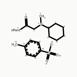 CCCCCC(=O)C[S+](C)C1CCCCC1.Cc1ccc(S(=O)(=O)[O-])cc1